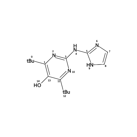 CC(C)(C)c1nc(Nc2ncc[nH]2)nc(C(C)(C)C)c1O